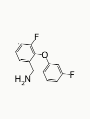 NCc1cc[c]c(F)c1Oc1cccc(F)c1